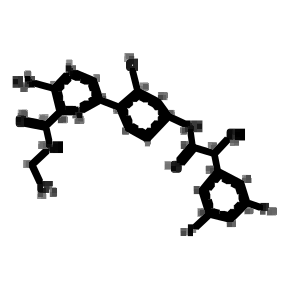 Nc1ncc(-c2ccc(NC(=O)C(O)c3cc(F)cc(F)c3)cc2Cl)nc1C(=O)NCC(F)(F)F